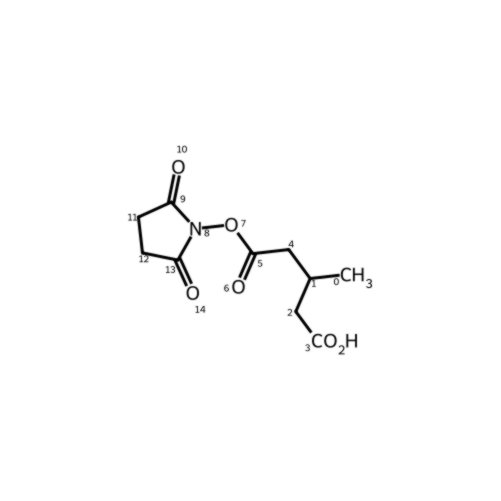 CC(CC(=O)O)CC(=O)ON1C(=O)CCC1=O